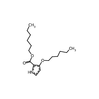 CCCCCCOC(=O)c1[nH]ccc1OCCCCCC